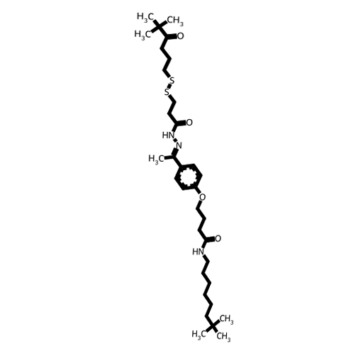 C/C(=N\NC(=O)CCSSCCCC(=O)C(C)(C)C)c1ccc(OCCCC(=O)NCCCCCCC(C)(C)C)cc1